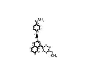 CCN1CCN(c2nc(C#Cc3ccc(OC)cc3)cc3ccccc23)CC1